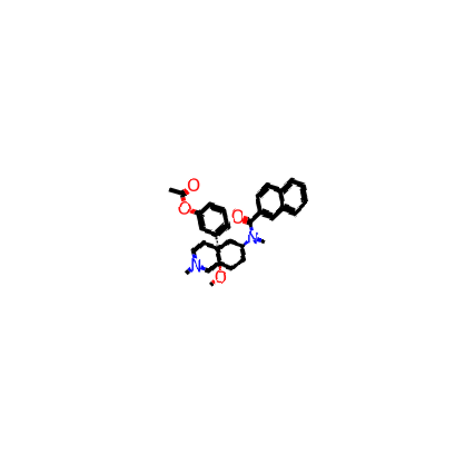 CO[C@]12CC[C@H](N(C)C(=O)c3ccc4ccccc4c3)C[C@]1(c1cccc(OC(C)=O)c1)CCN(C)C2